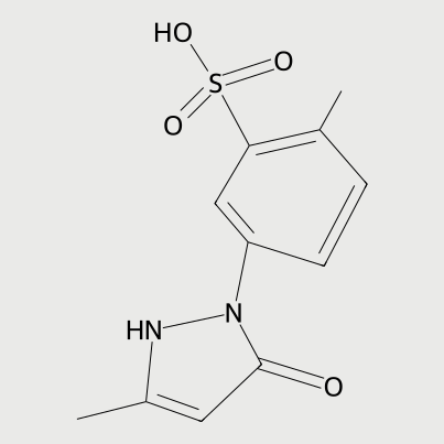 Cc1cc(=O)n(-c2ccc(C)c(S(=O)(=O)O)c2)[nH]1